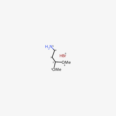 Br.COC(CCN)OC